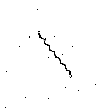 O=CNCCCCCCCCOC=O